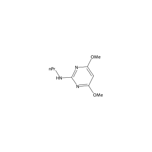 CCCNc1nc(OC)cc(OC)n1